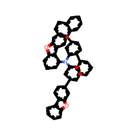 c1ccc(-c2ccc(-c3cccc4ccccc34)cc2N(c2cccc(-c3ccc4c(c3)oc3ccccc34)c2)c2cccc3oc4ccccc4c23)cc1